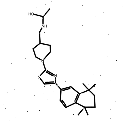 CC(O)NCC1CCN(c2nc(-c3ccc4c(c3)C(C)(C)CCC4(C)C)cs2)CC1